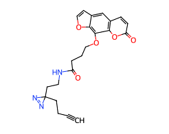 C#CCCC1(CCNC(=O)CCCOc2c3occc3cc3ccc(=O)oc23)N=N1